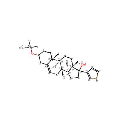 CC(C)(C)[Si](C)(C)OC1CC[C@@]2(C)C(=CC[C@@H]3[C@@H]2CC[C@@]2(C)[C@H]3CCC2(O)c2ccsc2)C1